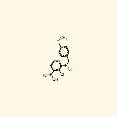 COc1ccc(CN(C)c2nccc(B(O)O)c2Cl)cc1